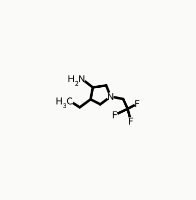 CCC1CN(CC(F)(F)F)CC1N